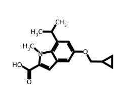 CC(C)c1cc(OCC2CC2)cc2cc(C(=O)O)n(C)c12